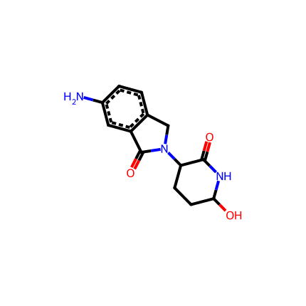 Nc1ccc2c(c1)C(=O)N(C1CCC(O)NC1=O)C2